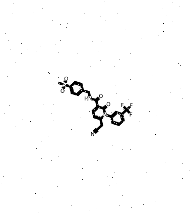 CS(=O)(=O)c1ccc(CNC(=O)c2ccc(CC#N)n(-c3cccc(C(F)(F)F)c3)c2=O)cc1